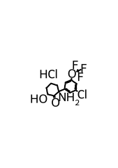 Cl.NC1(c2cc(Cl)cc(OC(F)(F)F)c2)CCCC(O)C1=O